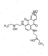 CCN(O)CCNc1ccc(NCCN(O)CC)c2c1C(=O)c1ccccc1C2=O.Cl.Cl